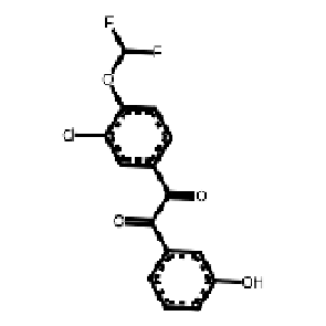 O=C(C(=O)c1ccc(OC(F)F)c(Cl)c1)c1cccc(O)c1